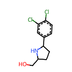 OCC1CCC(c2ccc(Cl)c(Cl)c2)N1